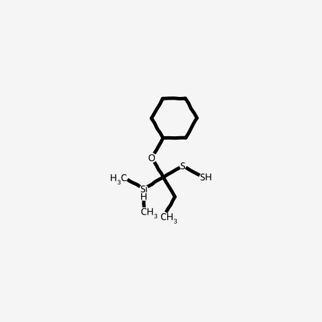 CCC(OC1CCCCC1)(SS)[SiH](C)C